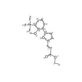 CCOC(=O)/C=C/c1ccc(-c2cccc(C(F)(F)F)c2OC)o1